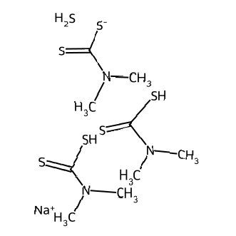 CN(C)C(=S)S.CN(C)C(=S)S.CN(C)C(=S)[S-].S.[Na+]